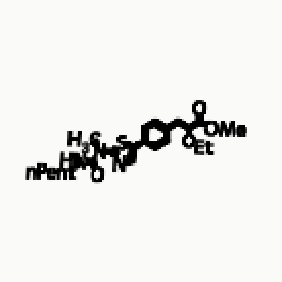 CCCCCNC(=O)N(C)c1ncc(-c2ccc(CC(OCC)C(=O)OC)cc2)s1